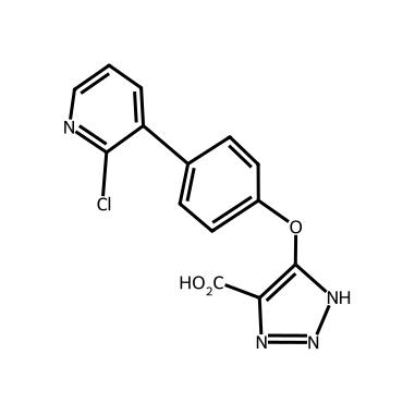 O=C(O)c1nn[nH]c1Oc1ccc(-c2cccnc2Cl)cc1